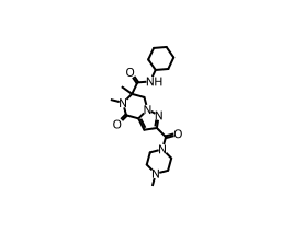 CN1CCN(C(=O)c2cc3n(n2)CC(C)(C(=O)NC2CCCCC2)N(C)C3=O)CC1